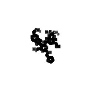 CCc1cc2cc(-c3c(C)nc(NCC4=CCCO4)nc3NC3C[C@H](CO)[C@H]4OC(C)(C)O[C@@H]34)oc2cn1